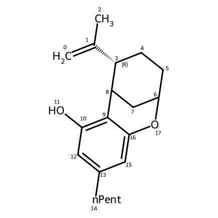 C=C(C)[C@@H]1CCC2CC1c1c(O)cc(CCCCC)cc1O2